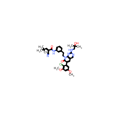 COc1cc(OC)c(Cl)c(-c2cc3cnc(NCC(C)(C)O)nc3n(CCc3cccc(NC(=O)/C(C#N)=C/C(C)(C)C)c3)c2=O)c1